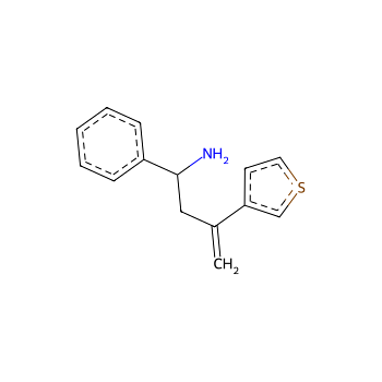 C=C(CC(N)c1ccccc1)c1ccsc1